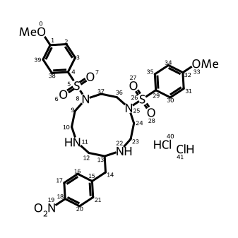 COc1ccc(S(=O)(=O)N2CCNCC(Cc3ccc([N+](=O)[O-])cc3)NCCN(S(=O)(=O)c3ccc(OC)cc3)CC2)cc1.Cl.Cl